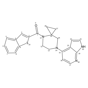 O=C(c1cc2ccccc2s1)N1CCN(c2ccnc3[nH]ccc23)CC12CC2